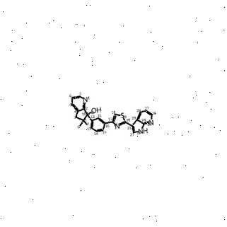 CC1(C)Cc2cccnc2[C@]1(O)c1cccc(-c2csc(-c3c[nH]c4ncccc34)n2)c1